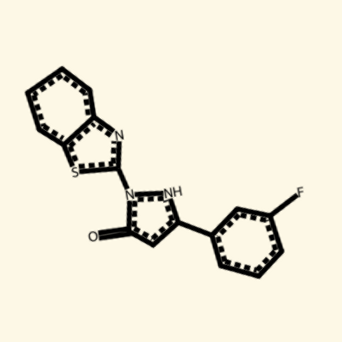 O=c1cc(-c2cccc(F)c2)[nH]n1-c1nc2ccccc2s1